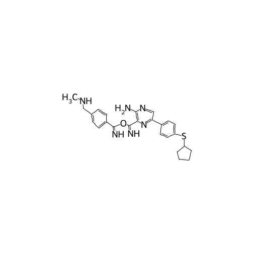 CNCc1ccc(C(=N)OC(=N)c2nc(-c3ccc(SC4CCCC4)cc3)cnc2N)cc1